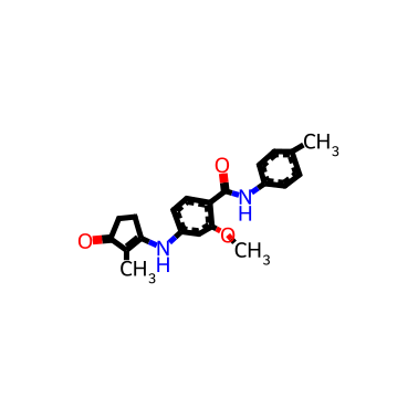 COc1cc(NC2=C(C)C(=O)CC2)ccc1C(=O)Nc1ccc(C)cc1